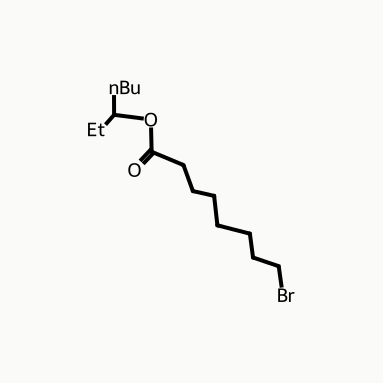 CCCCC(CC)OC(=O)CCCCCCCBr